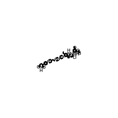 CCc1cc(Nc2ncc(Cl)c(Nc3ccc(OC)cc3N(C)S(C)(=O)=O)n2)c(OC)cc1N1CCC(N2CCN(CCC3CCN(c4ccc(C5CCC(=O)NC5=O)cc4)CC3)CC2)CC1